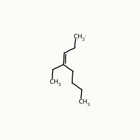 [CH2]CC=C(CC)CCCC